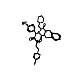 N#Cc1ccc(C(C(=O)NCCc2ccc(F)cc2)N2C(=O)C3Cc4ccccc4CN3C(=O)C2CC2CCCCC2)cc1